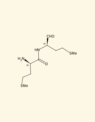 CSCC[C@@H](N)C(=O)N[C@@H](C=O)CCSC